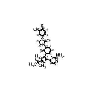 CC(C)(C)c1nc(-c2ccnc(N)n2)c(C2C=CC=C(N3CCN(c4ccc(F)c(Cl)c4)C3=O)C2F)s1